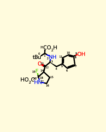 CC(C)(C)C(N[C@@H](Cc1ccc(O)cc1)C(=O)C1CCN[C@]1(F)C(=O)O)C(=O)O